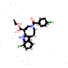 CCOC(=O)C1=CN(C(=O)c2ccc(F)cc2)CCc2c1[nH]c1c(F)cccc21